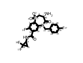 N[C@H]1CS(=O)(=O)c2cc(F)c(C(=O)NC3CC3(F)F)cc2N(Cc2ccc(F)cc2)C1=O